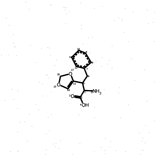 NC(C(=O)O)C(Cc1ccccc1)C1=COCO1